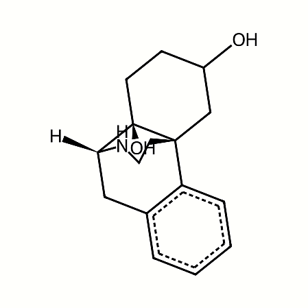 OC1CC[C@@]2(O)[C@H]3Cc4ccccc4[C@@]2(CCN3)C1